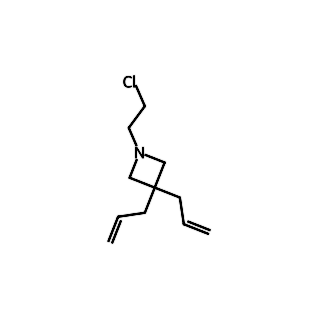 C=CCC1(CC=C)CN(CCCl)C1